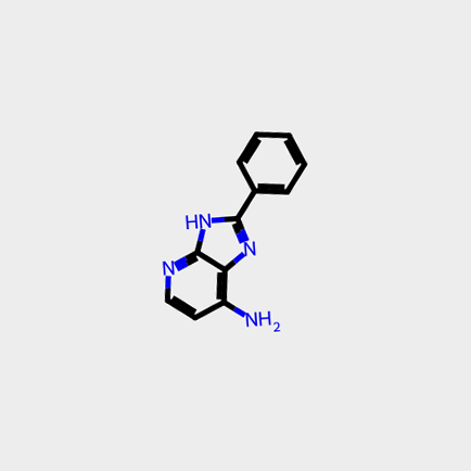 Nc1ccnc2[nH]c(-c3ccccc3)nc12